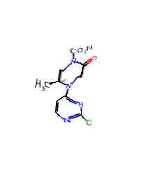 C[C@H]1CN(C(=O)O)C(=O)CN1c1ccnc(Cl)n1